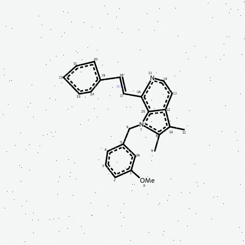 COc1cccc(Cn2c(C)c(C)c3ccnc(/C=C/c4ccccc4)c32)c1